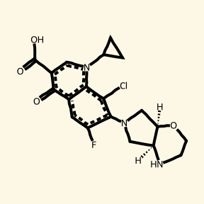 O=C(O)c1cn(C2CC2)c2c(Cl)c(N3C[C@@H]4NCCO[C@@H]4C3)c(F)cc2c1=O